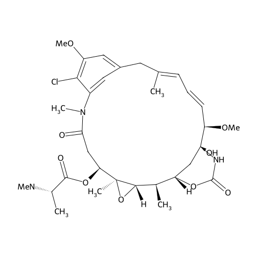 CN[C@@H](C)C(=O)O[C@H]1CC(=O)N(C)c2cc(cc(OC)c2Cl)C/C(C)=C/C=C/[C@@H](OC)[C@@]2(O)C[C@H](OC(=O)N2)[C@@H](C)[C@@H]2O[C@@]12C